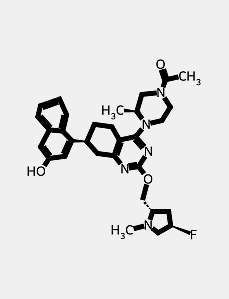 CC(=O)N1CCN(c2nc(OC[C@@H]3C[C@@H](F)CN3C)nc3c2CC[C@H](c2cc(O)cc4ccccc24)C3)[C@@H](C)C1